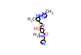 Cc1cc(Nc2nccc(C)n2)cc(-c2cnc(C3(O)CCC(C(=O)NCc4cccnc4)C(C)C3)s2)c1